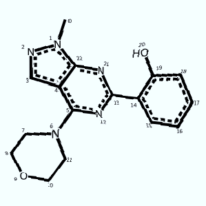 Cn1ncc2c(N3CCOCC3)nc(-c3ccccc3O)nc21